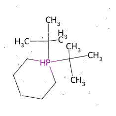 CC(C)(C)[PH]1(C(C)(C)C)CCCCC1